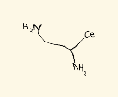 NC[CH](N)[Ce]